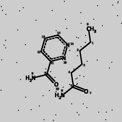 CCCCCC(N)=O.NC(=O)c1cccnn1